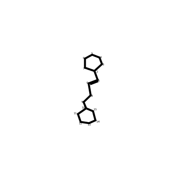 C(=CC1CCCCC1)CCC1CCCCC1